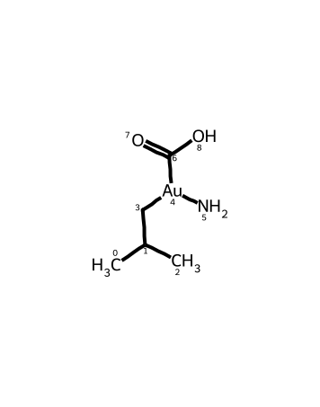 CC(C)[CH2][Au]([NH2])[C](=O)O